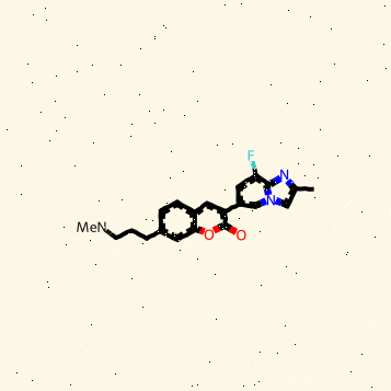 CNCCCc1ccc2cc(-c3cc(F)c4nc(C)cn4c3)c(=O)oc2c1